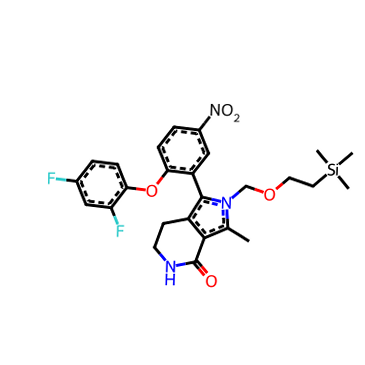 Cc1c2c(c(-c3cc([N+](=O)[O-])ccc3Oc3ccc(F)cc3F)n1COCC[Si](C)(C)C)CCNC2=O